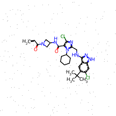 C=CC(=O)N1CC(NC(=O)c2c(Cl)nc(CNc3n[nH]c4cc(Cl)c(C(C)(C)C)cc34)n2C2CCCCC2)C1